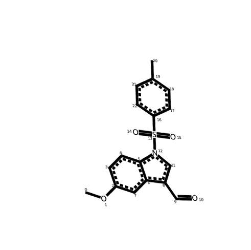 COc1ccc2c(c1)c(C=O)cn2S(=O)(=O)c1ccc(C)cc1